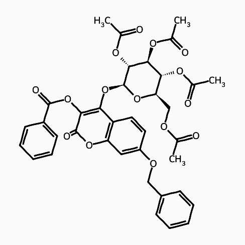 CC(=O)OC[C@H]1O[C@@H](Oc2c(OC(=O)c3ccccc3)c(=O)oc3cc(OCc4ccccc4)ccc23)[C@H](OC(C)=O)[C@@H](OC(C)=O)[C@@H]1OC(C)=O